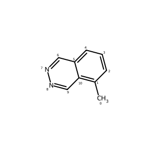 Cc1cccc2cnncc12